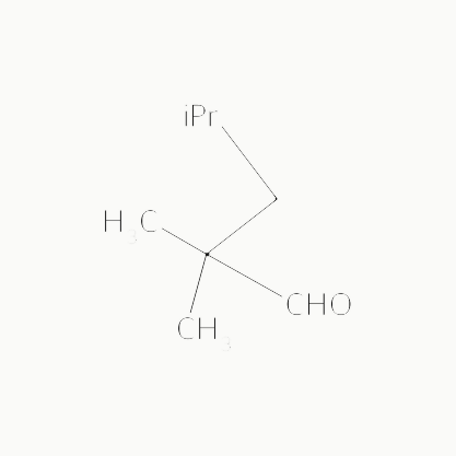 CC(C)CC(C)(C)C=O